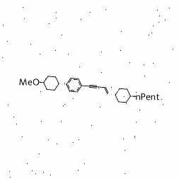 CCCCC[C@H]1CC[C@H](/C=C/C#Cc2ccc([C@H]3CC[C@H](OC)CC3)cc2)CC1